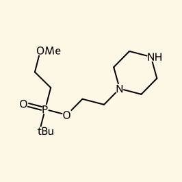 COCCP(=O)(OCCN1CCNCC1)C(C)(C)C